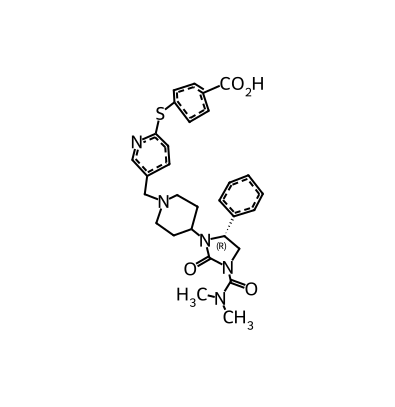 CN(C)C(=O)N1C[C@@H](c2ccccc2)N(C2CCN(Cc3ccc(Sc4ccc(C(=O)O)cc4)nc3)CC2)C1=O